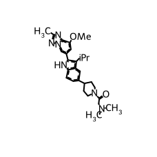 COc1cc(-c2[nH]c3ccc(C4CCN(C(=O)CN(C)C)CC4)cc3c2C(C)C)cn2nc(C)nc12